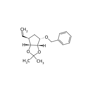 C=C[C@H]1C[C@H](OCc2ccccc2)[C@@H]2OC(C)(C)O[C@@H]21